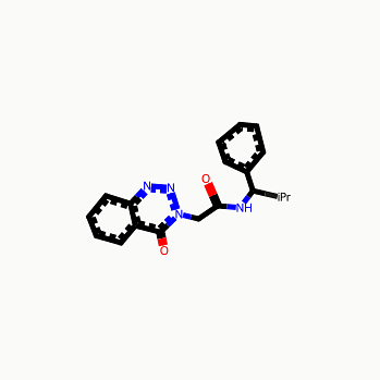 CC(C)C(NC(=O)Cn1nnc2ccccc2c1=O)c1ccccc1